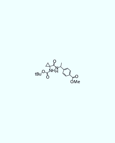 COC(=O)c1ccc(C(C)NC(=O)C2(NC(=O)OC(C)(C)C)CC2)cc1